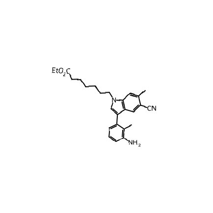 CCOC(=O)CCCCCCn1cc(-c2cccc(N)c2C)c2cc(C#N)c(C)cc21